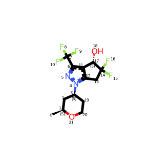 C[C@H]1C[C@@H](n2nc(C(F)(F)F)c3c2CC(F)(F)[C@H]3O)CCO1